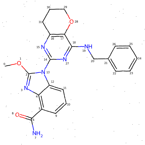 COc1nc2c(C(N)=O)cccc2n1-c1nc2c(c(NCc3ccccc3)n1)OCCC2